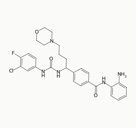 Nc1ccccc1NC(=O)c1ccc(C(CCCN2CCOCC2)NC(=O)Nc2ccc(F)c(Cl)c2)cc1